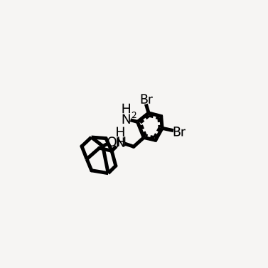 Nc1c(Br)cc(Br)cc1CNC12CC3CC(C1)C(O)C(C3)C2